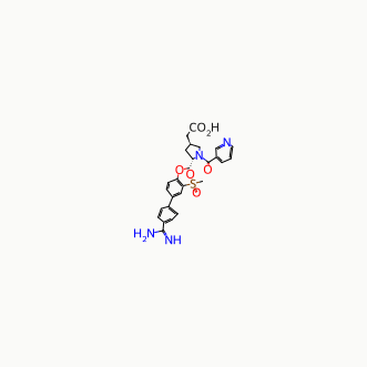 CS(=O)(=O)c1cc(-c2ccc(C(=N)N)cc2)ccc1OC[C@@H]1C[C@@H](CC(=O)O)CN1C(=O)c1cccnc1